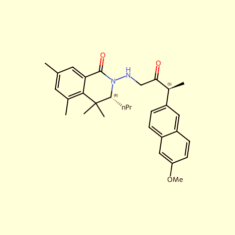 CCC[C@H]1N(NCC(=O)[C@@H](C)c2ccc3cc(OC)ccc3c2)C(=O)c2cc(C)cc(C)c2C1(C)C